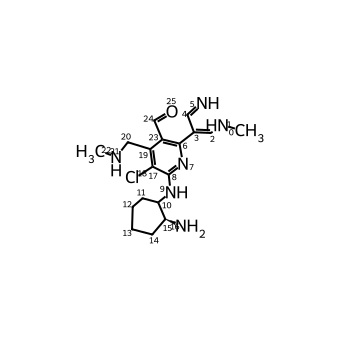 CN/C=C(\C=N)c1nc(NC2CCCC[C@@H]2N)c(Cl)c(CNC)c1C=O